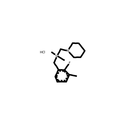 Cc1cccc(C[Si](C)(C)CN2CCCCC2)c1F.Cl